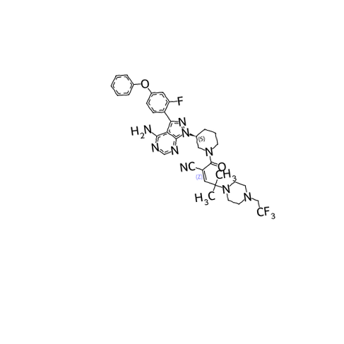 CC(C)(/C=C(/C#N)C(=O)N1CCC[C@H](n2nc(-c3ccc(Oc4ccccc4)cc3F)c3c(N)ncnc32)C1)N1CCN(CC(F)(F)F)CC1